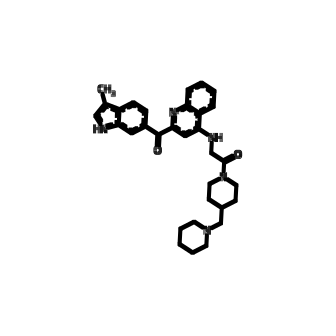 Cc1c[nH]c2cc(C(=O)c3cc(NCC(=O)N4CCC(CN5CCCCC5)CC4)c4ccccc4n3)ccc12